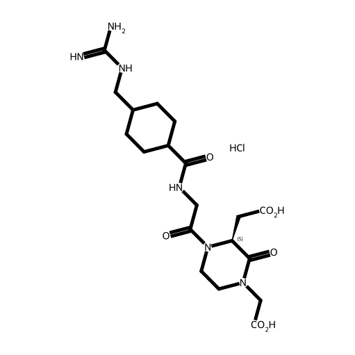 Cl.N=C(N)NCC1CCC(C(=O)NCC(=O)N2CCN(CC(=O)O)C(=O)[C@@H]2CC(=O)O)CC1